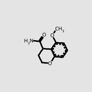 COc1cccc2c1C(C(N)=O)CCO2